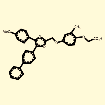 COc1ccc(-c2nc(COc3ccc(OCC(=O)O)c(C)c3)oc2-c2ccc(-c3ccccc3)cc2)cc1